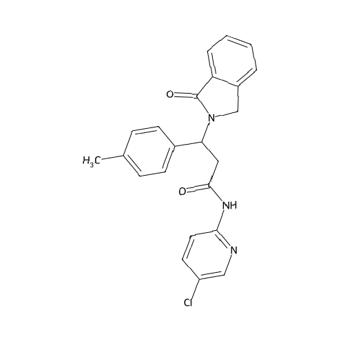 Cc1ccc(C(CC(=O)Nc2ccc(Cl)cn2)N2Cc3ccccc3C2=O)cc1